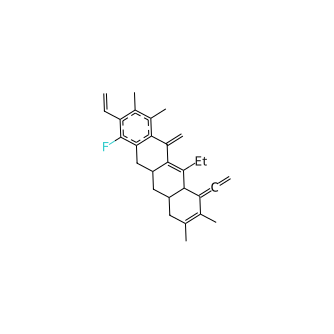 C=C=C1C(C)=C(C)CC2CC3Cc4c(F)c(C=C)c(C)c(C)c4C(=C)C3=C(CC)C12